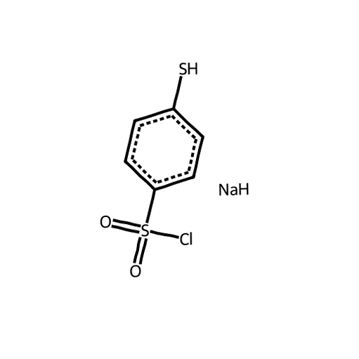 O=S(=O)(Cl)c1ccc(S)cc1.[NaH]